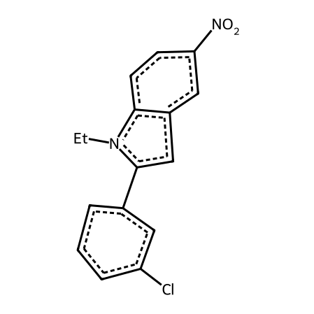 CCn1c(-c2cccc(Cl)c2)cc2cc([N+](=O)[O-])ccc21